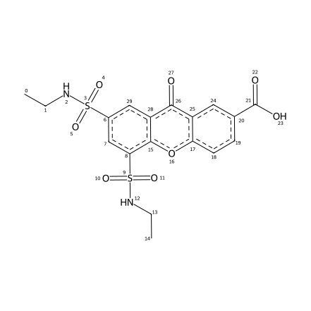 CCNS(=O)(=O)c1cc(S(=O)(=O)NCC)c2oc3ccc(C(=O)O)cc3c(=O)c2c1